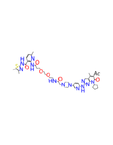 CC(=O)c1c(C)c2cnc(Nc3ccc(N4CCN(CC(=O)NCCOCCOCCC(=O)Nc5nc(C)ccc5C(=O)Nc5nc(C)c(C)s5)CC4)cn3)nc2n(C2CCCC2)c1=O